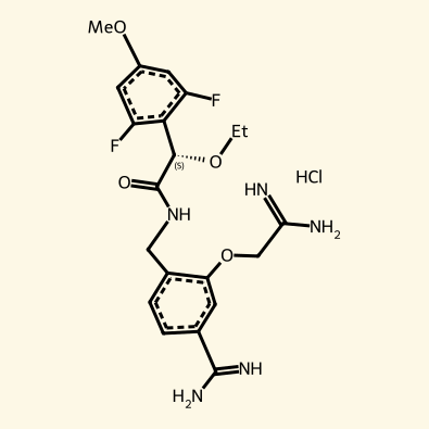 CCO[C@H](C(=O)NCc1ccc(C(=N)N)cc1OCC(=N)N)c1c(F)cc(OC)cc1F.Cl